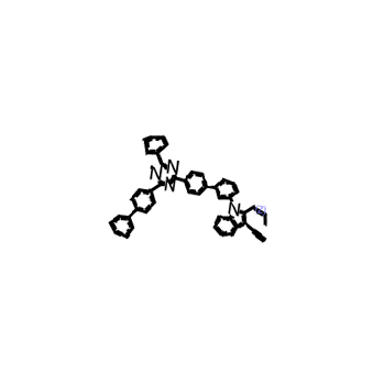 C#Cc1c(/C=C\C)n(-c2cccc(-c3ccc(-c4nc(-c5ccccc5)nc(-c5ccc(-c6ccccc6)cc5)n4)cc3)c2)c2ccccc12